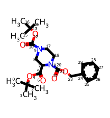 CC(C)(C)OC(=O)C1CN(C(=O)OC(C)(C)C)CCN1C(=O)OCc1ccccc1